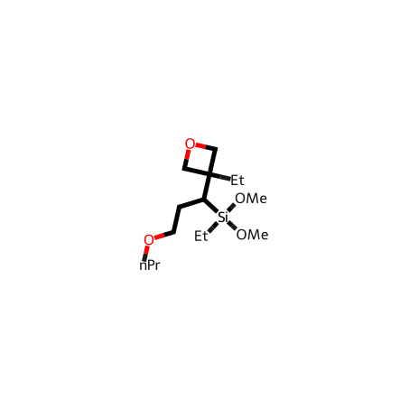 CCCOCCC(C1(CC)COC1)[Si](CC)(OC)OC